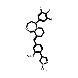 COc1cc(/C=C2\CCCN3C2=NOCCC3c2cc(F)c(F)c(F)c2)ccc1C1C=NN(C)C1